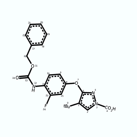 CC(C)(C)c1cn(C(=O)O)nc1Oc1ccc(NC(=O)OCc2ccccc2)c(F)c1